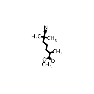 COC(=O)C(C)CCCC(C)(C)C#N